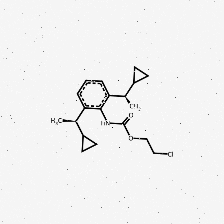 C[C@@H](c1cccc([C@H](C)C2CC2)c1NC(=O)OCCCl)C1CC1